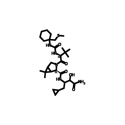 CSCC1(NC(=O)N[C@H](C(=O)N2CC3C([C@H]2C(=O)NC(CC2CC2)C(O)C(N)=O)C3(C)C)C(C)(C)C)CCCCC1